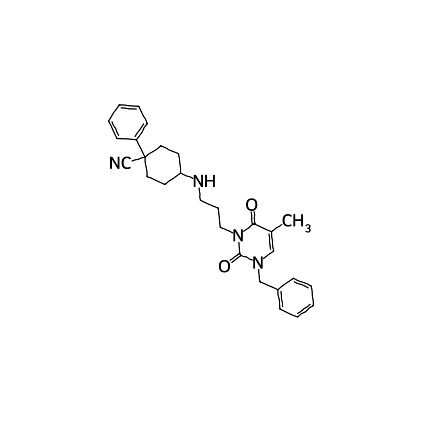 Cc1cn(Cc2ccccc2)c(=O)n(CCCNC2CCC(C#N)(c3ccccc3)CC2)c1=O